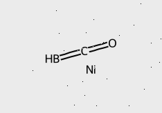 B=C=O.[Ni]